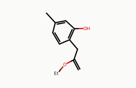 C=C(Cc1ccc(C)cc1O)OCC